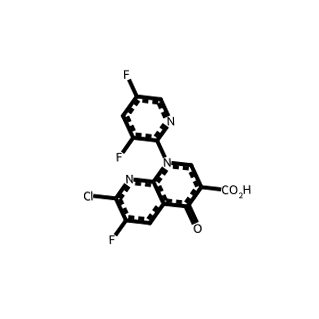 O=C(O)c1cn(-c2ncc(F)cc2F)c2nc(Cl)c(F)cc2c1=O